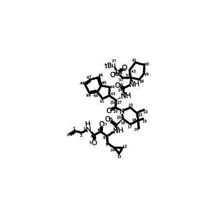 C=CCNC(=O)C(=O)C(CC1CC1)NC(=O)[C@@H]1CC(C)(C)C(C)CN1C(=O)[C@@H](NC(=O)NC1(CS(=O)(=O)C(C)(C)C)CCCCC1)C1Cc2ccccc2C1